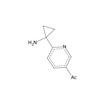 CC(=O)c1ccc(C2(N)CC2)nc1